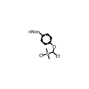 CCCCCCCCCc1ccc(OC(CC)[Si](C)(C)Cl)cc1